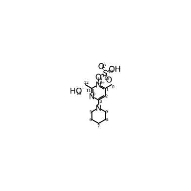 Cc1cc(N2CCCCC2)nc(C)[n+]1OS(=O)(=O)O.[OH-]